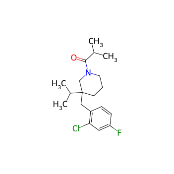 CC(C)C(=O)N1CCCC(Cc2ccc(F)cc2Cl)(C(C)C)C1